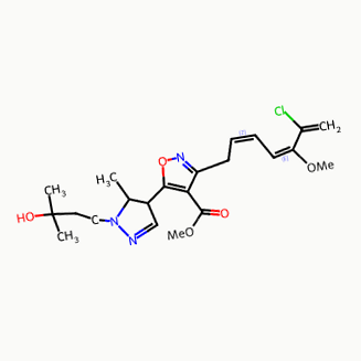 C=C(Cl)/C(=C\C=C/Cc1noc(C2C=NN(CCC(C)(C)O)C2C)c1C(=O)OC)OC